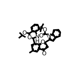 Cc1cc(C(C)Nc2ccccc2C(=O)OC(C)(C)C)c2oc(-c3cc4ccccc4n3C(=O)OC(C)(C)C)cc(=O)c2c1